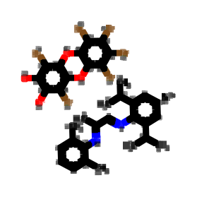 CC(C=Nc1c(C(C)C)cccc1C(C)C)=Nc1c(C)cccc1C.[Ni+2].[O-]c1c([O-])c(Br)c2c(c1Br)Oc1c(Br)c(Br)c(Br)c(Br)c1O2